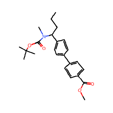 CCCC(c1ccc(-c2ccc(C(=O)OC)cc2)cc1)N(C)C(=O)OC(C)(C)C